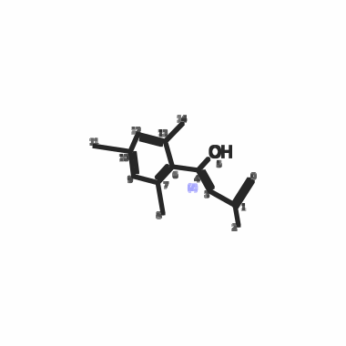 C=C(C)/C=C(\O)c1c(C)cc(C)cc1C